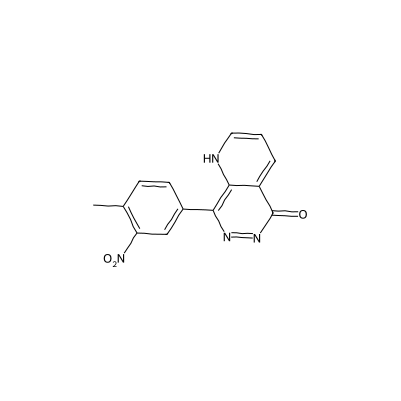 Cc1ccc(-c2nnc(=O)c3ccc[nH]c2-3)cc1[N+](=O)[O-]